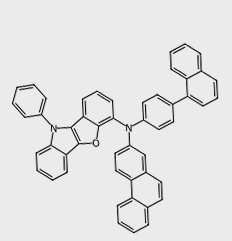 c1ccc(-n2c3ccccc3c3oc4c(N(c5ccc(-c6cccc7ccccc67)cc5)c5ccc6c(ccc7ccccc76)c5)cccc4c32)cc1